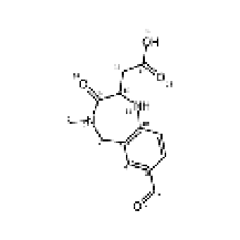 CN1Cc2cc(C=O)ccc2NC(CC(=O)O)C1=O